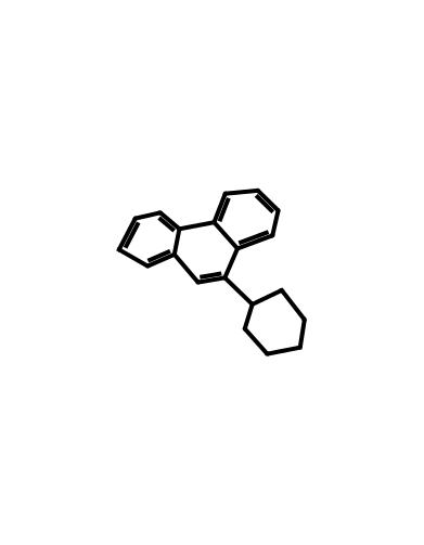 c1ccc2c(c1)cc(C1CCCCC1)c1ccccc12